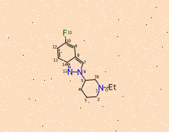 CCN1CCCC(n2cc3cc(F)ccc3n2)C1